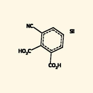 N#Cc1cccc(C(=O)O)c1C(=O)O.[Si]